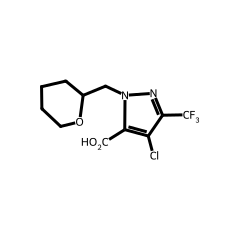 O=C(O)c1c(Cl)c(C(F)(F)F)nn1CC1CCCCO1